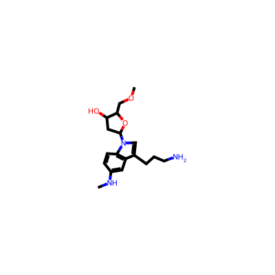 CNc1ccc2c(c1)c(CCCN)cn2C1CC(O)C(COC)O1